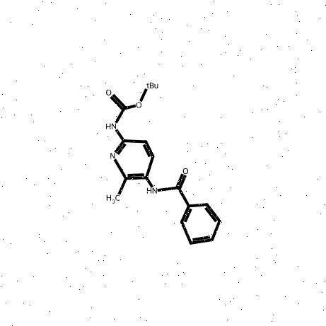 Cc1nc(NC(=O)OC(C)(C)C)ccc1NC(=O)c1ccccc1